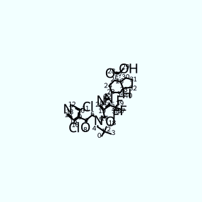 CC(C)(C)CN(CC(=O)c1c(Cl)cncc1Cl)C(=O)c1cnn([C@H]2CC[C@@]3(C(=O)O)CCC[C@H]3C2)c1C(F)(F)F